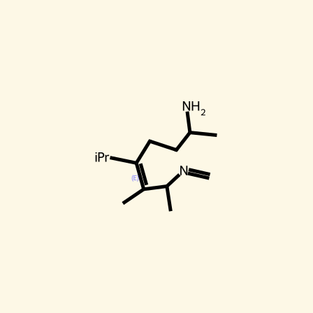 C=NC(C)/C(C)=C(\CCC(C)N)C(C)C